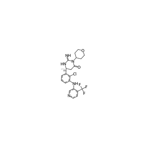 C[C@@]1(c2cccc(Nc3cnccc3C(F)(F)F)c2Cl)CC(=O)N(C2CCOCC2)C(=N)N1